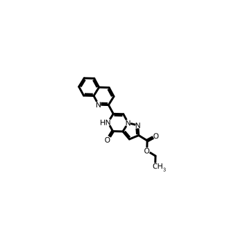 CCOC(=O)c1cc2c(=O)[nH]c(-c3ccc4ccccc4n3)cn2n1